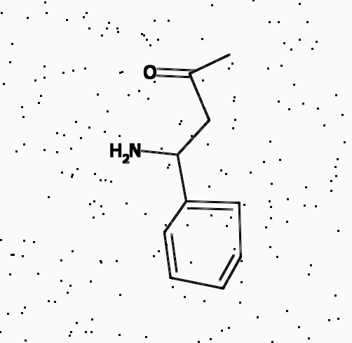 CC(=O)CC(N)c1ccccc1